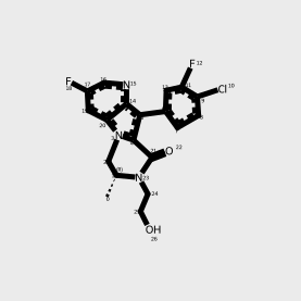 C[C@@H]1Cn2c(c(-c3ccc(Cl)c(F)c3)c3ncc(F)cc32)C(=O)N1CCO